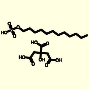 CCCCCCCCCCCCOS(=O)(=O)O.O=C(O)CC(O)(CC(=O)O)C(=O)O